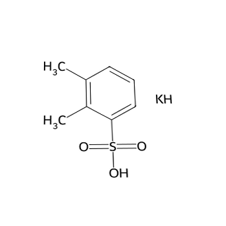 Cc1cccc(S(=O)(=O)O)c1C.[KH]